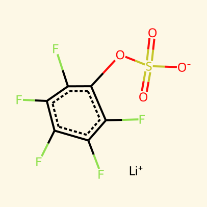 O=S(=O)([O-])Oc1c(F)c(F)c(F)c(F)c1F.[Li+]